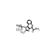 CCCCCCn1c(C)nc2c(C(N)=O)nc3ccccc3c21.CNCC(=O)O